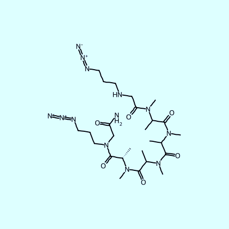 CC(C(=O)N(C)C(C)C(=O)N(C)C(C)C(=O)N(C)[C@@H](C)C(=O)N(CCCN=[N+]=[N-])CC(N)=O)N(C)C(=O)CNCCCN=[N+]=[N-]